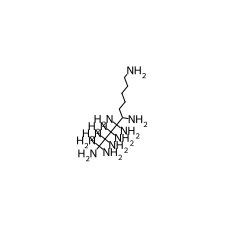 NCCCCCC(N)C(N)(N)C(N)(N)C(N)(N)C(N)(N)N